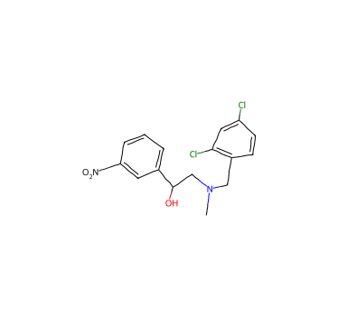 CN(Cc1ccc(Cl)cc1Cl)CC(O)c1cccc([N+](=O)[O-])c1